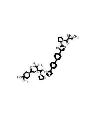 CC[C@H](N)C(=O)N1CCC[C@H]1c1ncc(-c2ccc(-c3ccc(-c4cnc([C@@H]5CCCN5C(=O)[C@@H](NC(=O)N5CCC(C)(O)CC5)C(C)C)[nH]4)cc3)cc2)[nH]1